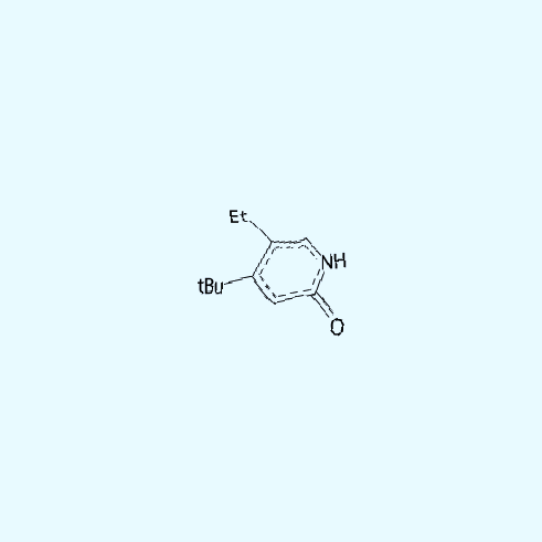 CCc1c[nH]c(=O)cc1C(C)(C)C